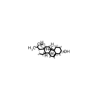 C[C@@H](O)[C@H]1CC[C@H]2[C@@H]3CC=C4C[C@@H](O)CC[C@]4(C)[C@H]3CC[C@]12C